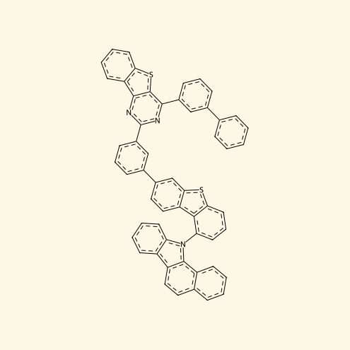 c1ccc(-c2cccc(-c3nc(-c4cccc(-c5ccc6c(c5)sc5cccc(-n7c8ccccc8c8ccc9ccccc9c87)c56)c4)nc4c3sc3ccccc34)c2)cc1